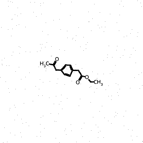 CCOC(=O)Cc1ccc(CC(C)=O)cc1